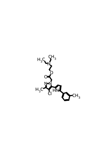 CCN(CC)CCOC(=O)Cn1nc(C)c(Cl)c1-c1ccc(-c2cccc(C)c2)[nH]1